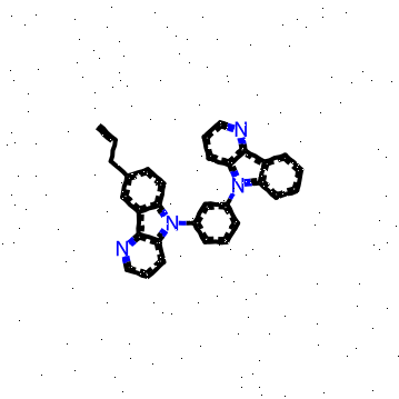 C=CCc1ccc2c(c1)c1ncccc1n2-c1cccc(-n2c3ccccc3c3ncccc32)c1